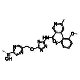 COc1cccc(F)c1-c1cc(C)ncc1C(=O)Nc1nnc(OCc2cnc([C@@H](C)O)cn2)s1